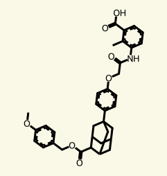 COc1ccc(COC(=O)C2C3CC4CC2CC(c2ccc(OCC(=O)Nc5cccc(C(=O)O)c5C)cc2)(C4)C3)cc1